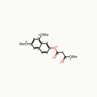 COC(=O)CC(=O)Oc1ccc2cc(OC)cc(OC)c2c1